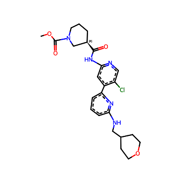 COC(=O)N1CCC[C@@H](C(=O)Nc2cc(-c3cccc(NCC4CCOCC4)n3)c(Cl)cn2)C1